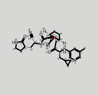 Cc1cncc(N[C@@H](CC2CC2)C(=O)N2[C@@H]3CC[C@H]([C@H]2C(=O)N[C@@H](C#N)C[C@@H]2CCNC2=O)C(F)(F)C3)c1